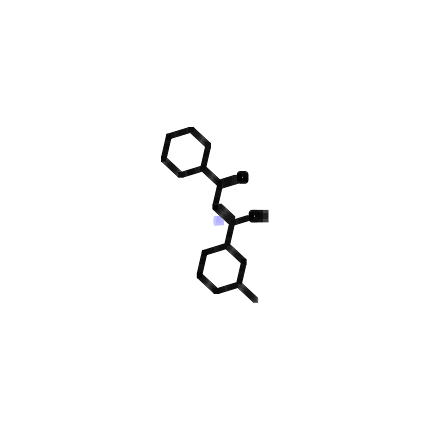 CC1CCCC(/C(O)=C/C(=O)C2CCCCC2)C1